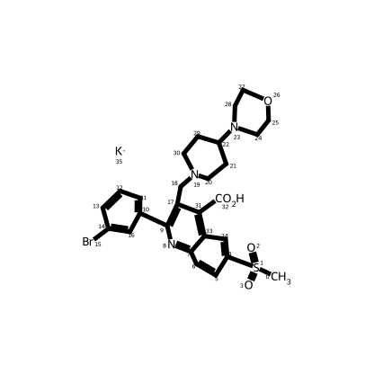 CS(=O)(=O)c1ccc2nc(-c3cccc(Br)c3)c(CN3CCC(N4CCOCC4)CC3)c(C(=O)O)c2c1.[K]